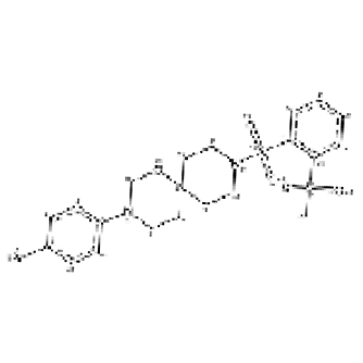 CCCc1ccc(N2CCC3(CCN(S(=O)(=O)c4ccccc4S(C)(=O)=O)CC3)OC2)cc1